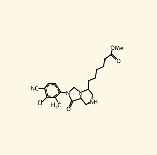 COC(=O)CCCCCC1CNCC2C(=O)N(c3ccc(C#N)c(Cl)c3C)CN12